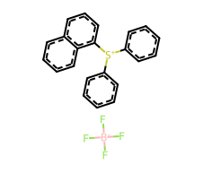 F[B-](F)(F)F.c1ccc([S+](c2ccccc2)c2cccc3ccccc23)cc1